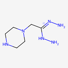 N/N=C(/CN1CCNCC1)NN